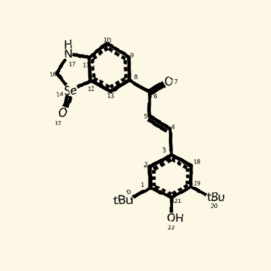 CC(C)(C)c1cc(C=CC(=O)c2ccc3c(c2)[Se](=O)CN3)cc(C(C)(C)C)c1O